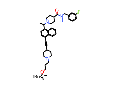 CC(c1ccc(C#CC2CCN(CCCO[Si](C)(C)C(C)(C)C)CC2)c2ccccc12)N1CCC(C(=O)NCc2cccc(F)c2)CC1